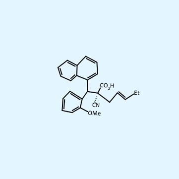 CCC=CC[C@](C#N)(C(=O)O)C(c1ccccc1OC)c1cccc2ccccc12